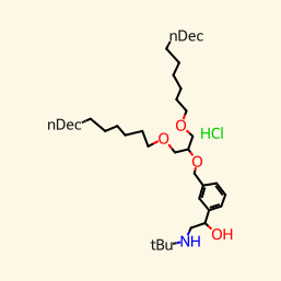 CCCCCCCCCCCCCCCCOCC(COCCCCCCCCCCCCCCCC)OCc1cccc(C(O)CNC(C)(C)C)c1.Cl